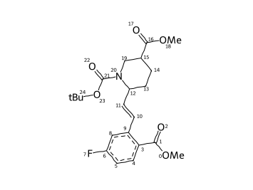 COC(=O)c1ccc(F)cc1C=CC1CCC(C(=O)OC)CN1C(=O)OC(C)(C)C